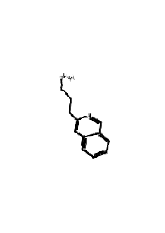 CCCCCCCCCCc1cc2ccccc2cn1